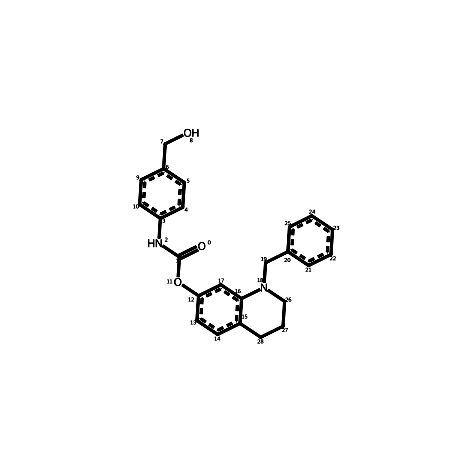 O=C(Nc1ccc(CO)cc1)Oc1ccc2c(c1)N(Cc1ccccc1)CCC2